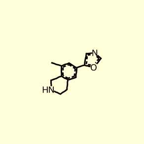 Cc1cc(-c2cnco2)cc2c1CNCC2